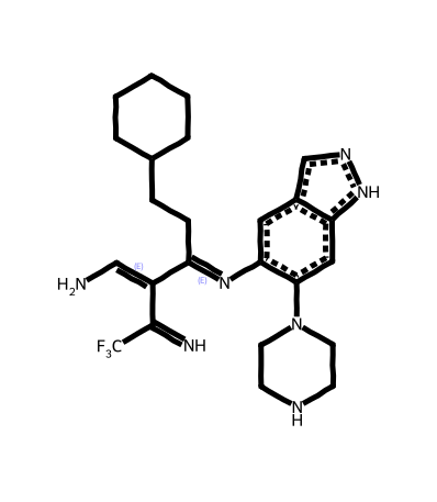 N=C(C(=C\N)/C(CCC1CCCCC1)=N/c1cc2cn[nH]c2cc1N1CCNCC1)C(F)(F)F